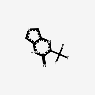 O=c1[nH]c2cscc2nc1C(F)(F)F